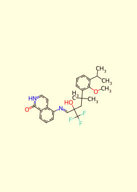 COc1c(C(C)C)cccc1C(C)(C)CC(O)(/C=N/c1cccc2c(=O)[nH]ccc12)C(F)(F)F